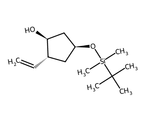 C=C[C@H]1C[C@H](O[Si](C)(C)C(C)(C)C)C[C@@H]1O